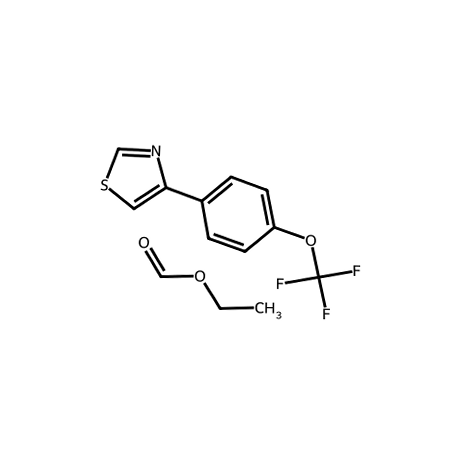 CCOC=O.FC(F)(F)Oc1ccc(-c2cscn2)cc1